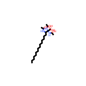 CCCCCCCCCCCCCCCC(NC(C)O)C(NC(C)O)(NC(C)O)C(=O)O